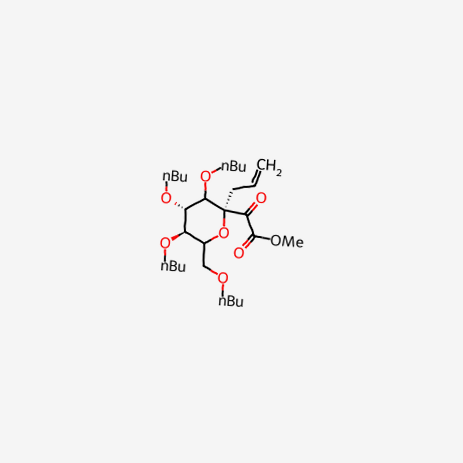 C=CC[C@]1(C(=O)C(=O)OC)OC(COCCCC)[C@@H](OCCCC)[C@H](OCCCC)C1OCCCC